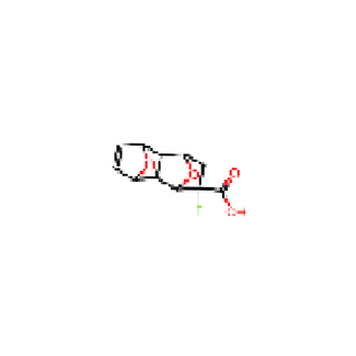 O=C(O)C1(F)CC2OC1C1C3C=CC(O3)C21